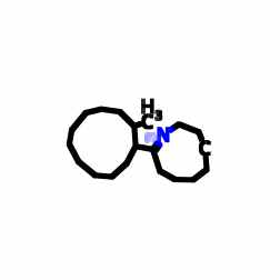 CC1CCCCCCCCCC1/C1=N/CCCCCCC1